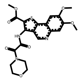 COC(=O)c1sc2c(cnc3cc(OC)c(OC)cc32)c1NC(=O)C(=O)N1CCOCC1